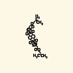 CC(C)CCOC(=O)Cc1csc(N2C(=O)c3ccc4c5c(ccc(c35)C2=O)C(=O)N(c2nc(CC(=O)OCCC(C)C)cs2)C4=O)n1